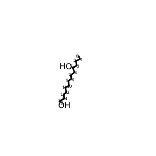 CCCCC(O)CCCCCCCCCCO